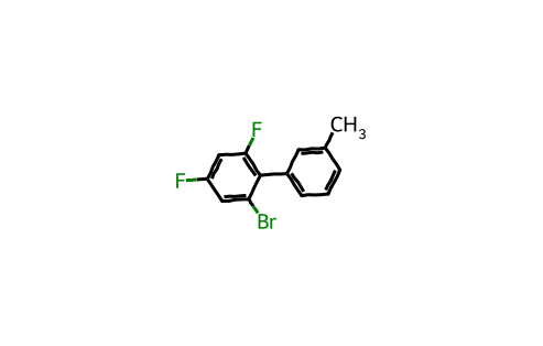 Cc1cccc(-c2c(F)cc(F)cc2Br)c1